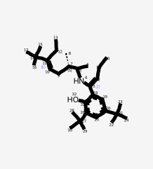 CC/C=C(\NC(C)[C@@H](C)C/C=C(\CC)C(C)(C)C)c1cc(C(C)(C)C)cc(C(C)(C)C)c1O